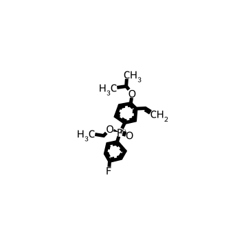 C=Cc1cc([P@@](=O)(OCC)c2ccc(F)cc2)ccc1OC(C)C